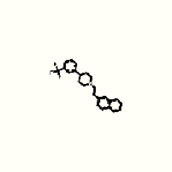 FC(F)(F)c1cccc(C2CCN(CCc3ccc4ccccc4c3)CC2)c1